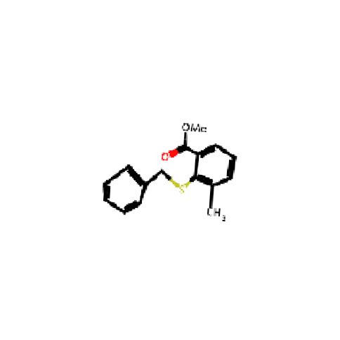 COC(=O)c1cccc(C)c1SCc1ccccc1